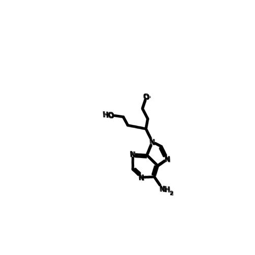 Nc1ncnc2c1ncn2C(CC[O])CCO